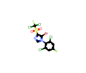 O=S(=O)(c1ncn(-c2c(Cl)cc(F)cc2Cl)c1Br)C(F)(Cl)Cl